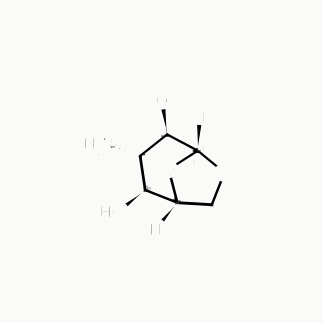 N[C@@H]1[C@@H](O)[C@@H]2OC[C@@H](O2)[C@H]1O